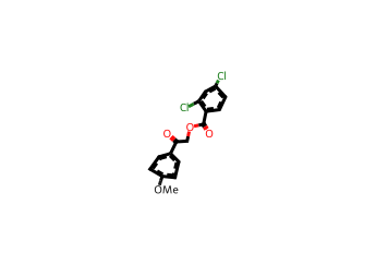 COc1ccc(C(=O)COC(=O)c2ccc(Cl)cc2Cl)cc1